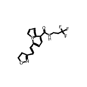 O=C(NCCC(F)(F)F)c1ccc(/C=C/C2=NOCC2)n2cccc12